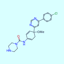 COC1(c2cc(-c3ccc(Cl)cc3)ncn2)C=CC(NC(=O)N2CCNCC2)=CC1